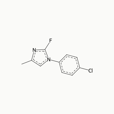 Cc1cn(-c2ccc(Cl)cc2)c(F)n1